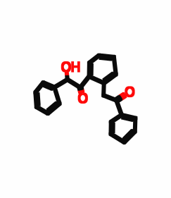 O=C(Cc1ccccc1C(=O)C(O)c1ccccc1)c1ccccc1